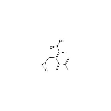 C=C(C)C(=O)C(CC1CO1)=C(C)C(=O)O